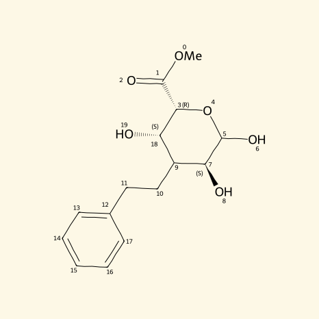 COC(=O)[C@@H]1OC(O)[C@@H](O)C(CCc2ccccc2)[C@@H]1O